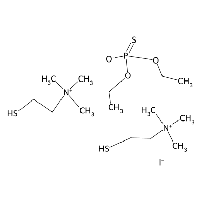 CCOP([O-])(=S)OCC.C[N+](C)(C)CCS.C[N+](C)(C)CCS.[I-]